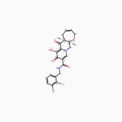 O=C(NCc1cccc(Cl)c1F)c1cn2c(c(O)c1=O)C(=O)[C@H]1CC=CCO[C@H]1C2